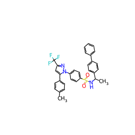 Cc1ccc(-c2cc(C(F)(F)F)nn2-c2ccc(S(=O)(=O)NC(C)c3ccc(-c4ccccc4)cc3)cc2)cc1